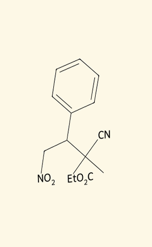 CCOC(=O)C(C)(C#N)C(C[N+](=O)[O-])c1ccccc1